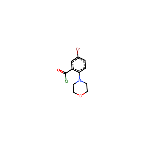 O=C(Cl)c1cc(Br)ccc1N1CCOCC1